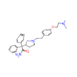 CN(C)CCOc1ccc(CCN2CCC(C(C(N)=O)(c3ccccc3)c3ccccc3)C2)cc1